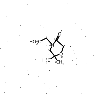 CC1(C)CN(CC(=O)O)C(=O)CO1